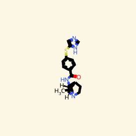 C[C@H]1[C@H](NC(=O)c2ccc(Sc3cnc[nH]3)cc2)C2CCN1CC2